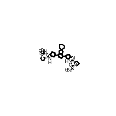 CC(C)(C)OC(=O)N1CCC[C@H]1c1nc2ccc(-c3ccc(-c4ccc5nc([C@@H]6CCCN6C(=O)OC(C)(C)C)[nH]c5c4)c4c3CC3(CCCCC3)C4)cc2[nH]1